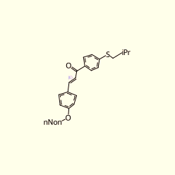 CCCCCCCCCOc1ccc(/C=C/C(=O)c2ccc(SCC(C)C)cc2)cc1